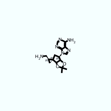 CC1(C)OC2C(O1)[C@]1(C[C@H]1CN)C[C@H]2n1cnc2c(N)ncnc21